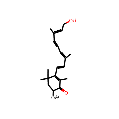 CC(=O)OC1CC(C)(C)C(C=CC(C)=CC=CC(C)=CCO)=C(C)C1=O